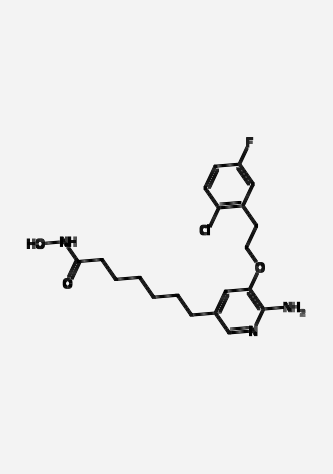 Nc1ncc(CCCCCCC(=O)NO)cc1OCCc1cc(F)ccc1Cl